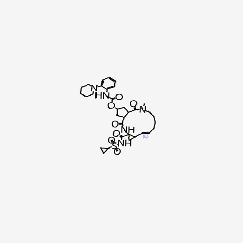 CN1CCCC/C=C/C2CC2(C(=O)NS(=O)(=O)C2CC2)NC(=O)C2CC(OC(=O)Nc3ccccc3N3CCCCC3)CC2C1=O